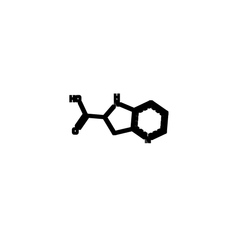 O=C(O)C1Cc2ncccc2N1